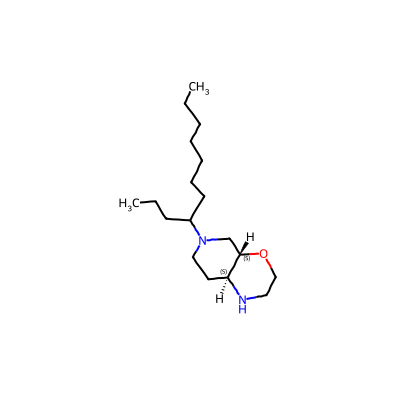 CCCCCCCC(CCC)N1CC[C@@H]2NCCO[C@H]2C1